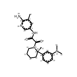 Cc1cc(NC(=O)C(=O)N2CCCC[C@@]2(C)c2cccc(N(C)C)c2)cnc1N